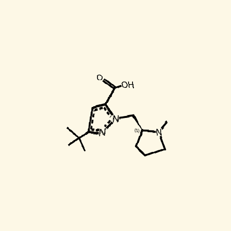 CN1CCC[C@H]1Cn1nc(C(C)(C)C)cc1C(=O)O